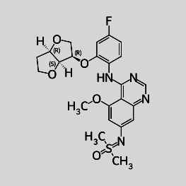 COc1cc(N=S(C)(C)=O)cc2ncnc(Nc3ccc(F)cc3O[C@@H]3CO[C@@H]4CCO[C@@H]43)c12